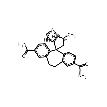 C[C@H](N)CC1(c2nnc[nH]2)c2ccc(C(N)=O)cc2CCc2cc(C(N)=O)ccc21